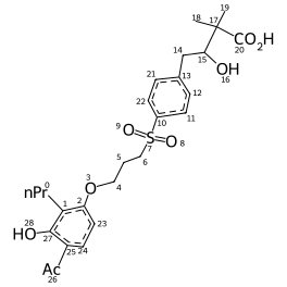 CCCc1c(OCCCS(=O)(=O)c2ccc(CC(O)C(C)(C)C(=O)O)cc2)ccc(C(C)=O)c1O